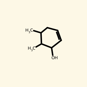 CC1CC=CC(O)C1C